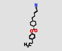 CCc1ccc(OC(=O)[C@H]2CC[C@H](CCC=CC#N)CC2)cc1